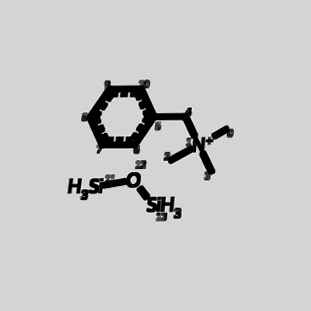 C[N+](C)(C)Cc1ccccc1.[SiH3]O[SiH3]